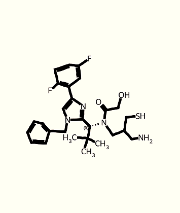 CC(C)(C)[C@H](c1nc(-c2cc(F)ccc2F)cn1Cc1ccccc1)N(CC(CN)CS)C(=O)CO